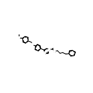 CSc1ccc(COc2ccc(-c3cn(C(=O)NCCCCc4ccccc4)cn3)cc2)cc1